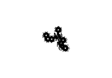 c1ccc(-c2nc(-c3ccc4ccc5ccccc5c4c3)nc(-c3cccc4c3cnc3oc5ccccc5c34)n2)cc1